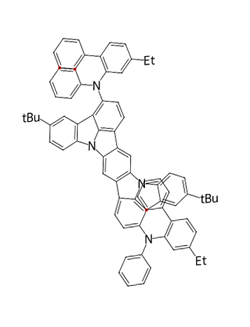 CCc1ccc(-c2ccccc2)c(N(c2ccccc2)c2ccc3c4cc5c(cc4n4c6ccc(C(C)(C)C)cc6c2c34)c2ccc(N(c3ccccc3)c3cc(CC)ccc3-c3ccccc3)c3c4cc(C(C)(C)C)ccc4n5c23)c1